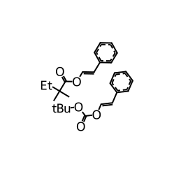 CC(C)(C)OC(=O)OC=Cc1ccccc1.CCC(C)(C)C(=O)OC=Cc1ccccc1